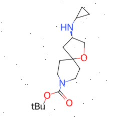 CC(C)(C)OC(=O)N1CCC2(CC1)C[C@@H](NC1CC1)CO2